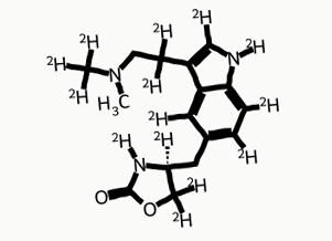 [2H]c1c(C[C@]2([2H])N([2H])C(=O)OC2([2H])[2H])c([2H])c2c(C([2H])([2H])CN(C)C([2H])([2H])[2H])c([2H])n([2H])c2c1[2H]